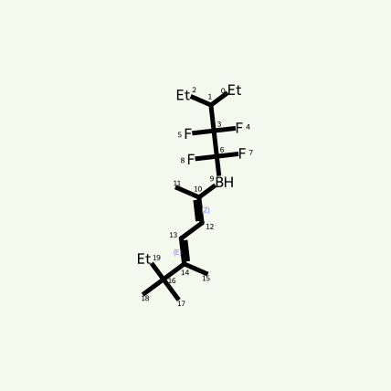 CCC(CC)C(F)(F)C(F)(F)B/C(C)=C/C=C(\C)C(C)(C)CC